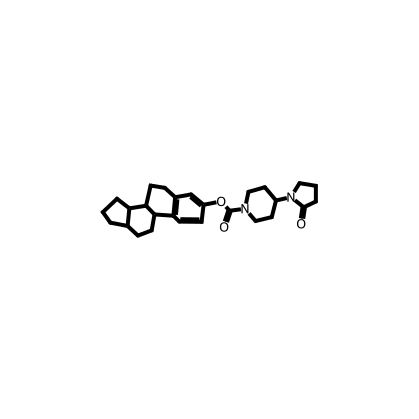 O=C(Oc1ccc2c(c1)CCC1C2CCC2CCCC21)N1CCC(N2CCCC2=O)CC1